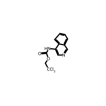 O=C(Nc1cncc2ccccc12)OCC(Cl)(Cl)Cl